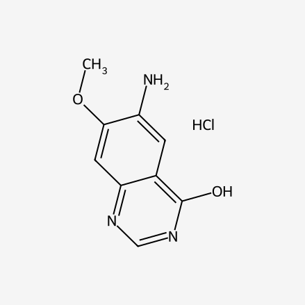 COc1cc2ncnc(O)c2cc1N.Cl